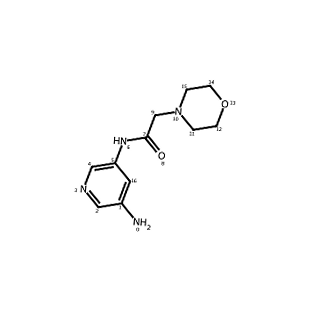 Nc1cncc(NC(=O)CN2CCOCC2)c1